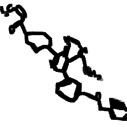 COC(=O)C1CCC(c2nc(-c3cccc(OCc4ccccc4)c3)c3c(N)ncnn23)CC1